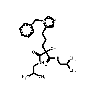 CC(C)CNC(=O)C(O)(CCCc1cncn1Cc1ccccc1)C(=O)NCC(C)C